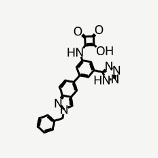 O=c1c(O)c(Nc2cc(-c3ccc4nn(Cc5ccccc5)cc4c3)cc(-c3nnn[nH]3)c2)c1=O